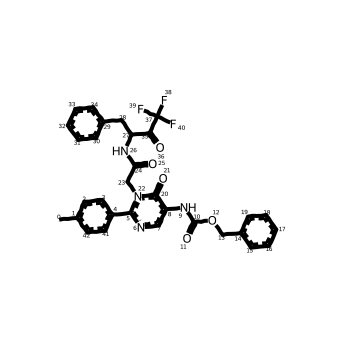 Cc1ccc(-c2ncc(NC(=O)OCc3ccccc3)c(=O)n2CC(=O)NC(Cc2ccccc2)C(=O)C(F)(F)F)cc1